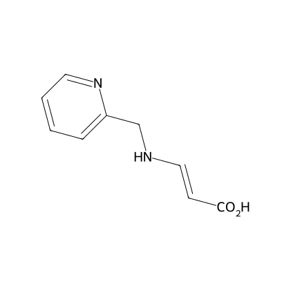 O=C(O)C=CNCc1ccccn1